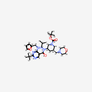 CC(C)CN(C(=O)c1cnc(C(C)(C)C)nc1NCc1ccco1)C1C[C@H](CN2CCOCC2)CN(C(=O)OC(C)(C)C)C1